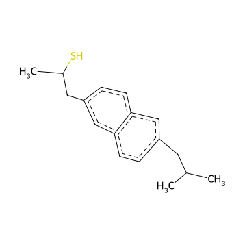 CC(C)Cc1ccc2cc(CC(C)S)ccc2c1